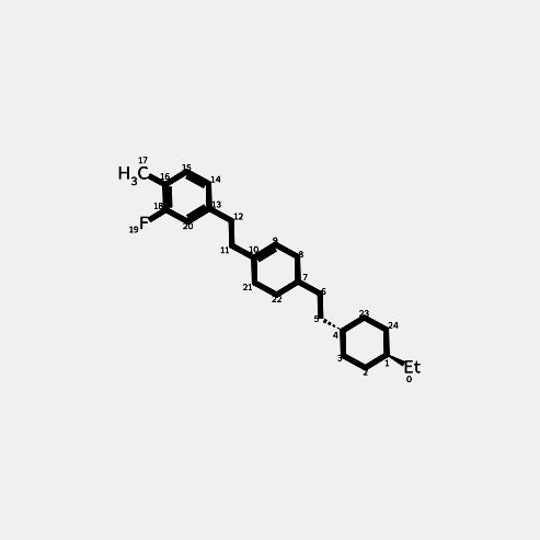 CC[C@H]1CC[C@H](CCC2CC=C(CCc3ccc(C)c(F)c3)CC2)CC1